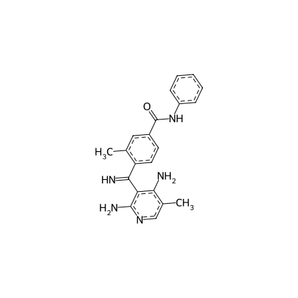 Cc1cc(C(=O)Nc2ccccc2)ccc1C(=N)c1c(N)ncc(C)c1N